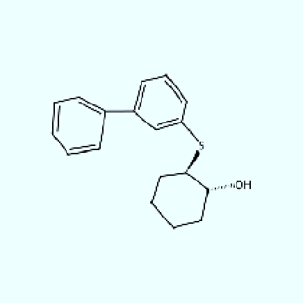 O[C@@H]1CCCC[C@H]1Sc1cccc(-c2ccccc2)c1